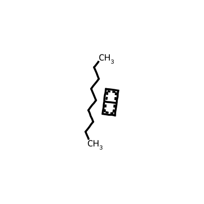 CCCCCCCCC.c1cc2ccc1-2